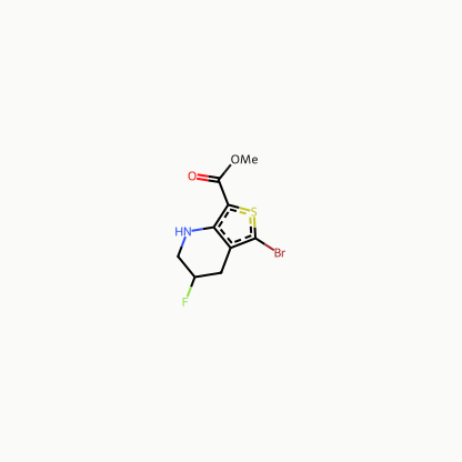 COC(=O)c1sc(Br)c2c1NCC(F)C2